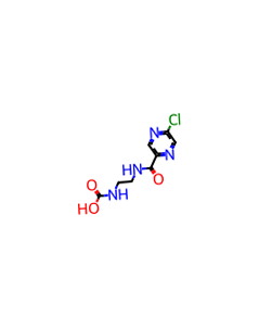 O=C(O)NCCNC(=O)c1cnc(Cl)cn1